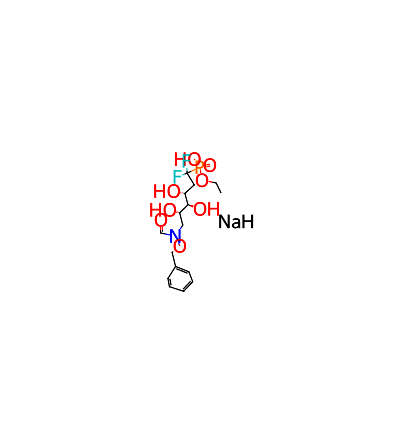 CCOP(=O)(O)C(F)(F)C[C@@H](O)[C@@H](O)[C@@H](O)CN(C=O)OCc1ccccc1.[NaH]